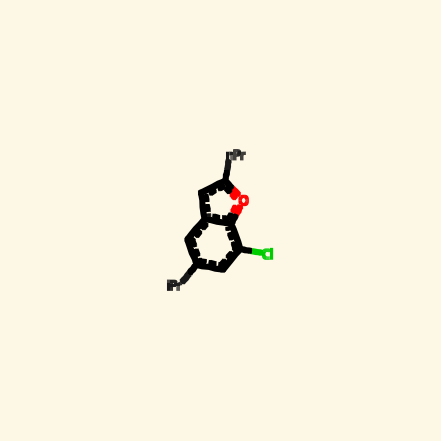 CCCc1cc2cc(C(C)C)cc(Cl)c2o1